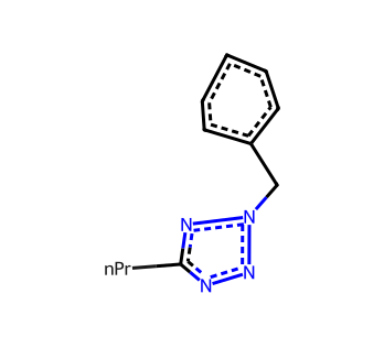 CCCc1nnn(Cc2ccccc2)n1